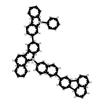 c1ccc(-n2c3ccccc3c3ccc(-c4ccc5c(c4)c4ccc6ccccc6c4n5-c4ccc5cc(-c6ccc7c(c6)-c6cccc8cccc-7c68)ccc5c4)cc32)cc1